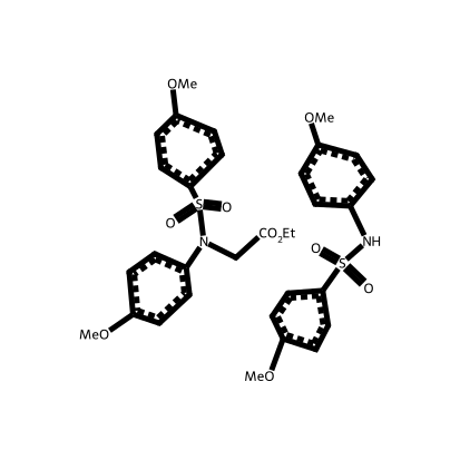 CCOC(=O)CN(c1ccc(OC)cc1)S(=O)(=O)c1ccc(OC)cc1.COc1ccc(NS(=O)(=O)c2ccc(OC)cc2)cc1